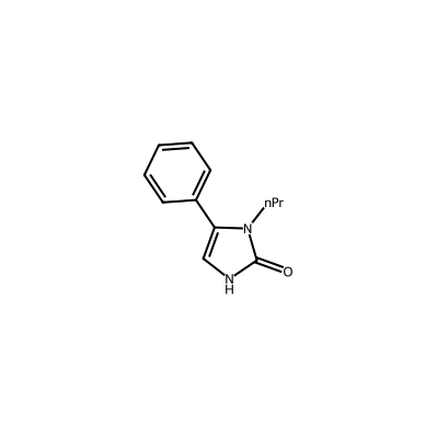 CCCn1c(-c2ccccc2)c[nH]c1=O